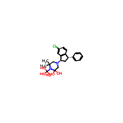 CC1(C)CN([C@@H]2C[C@@H](c3ccccc3)c3ccc(Cl)cc32)CC(O)(O)N1C(O)(O)O